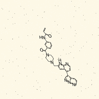 C=CC(=O)Nc1cccc(C(=O)N2CCN(Cc3cc4c(-c5cnn6ncccc56)ccnc4[nH]3)CC2)c1